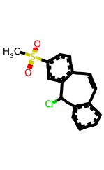 CS(=O)(=O)c1ccc2c(c1)C(Cl)c1ccccc1C=C2